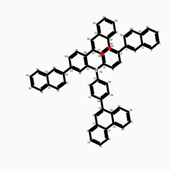 c1ccc2cc(-c3ccc(N(c4ccc(-c5cc6ccccc6c6ccccc56)cc4)c4cc(-c5ccc6ccccc6c5)ccc4-c4ccc5ccccc5c4)cc3)ccc2c1